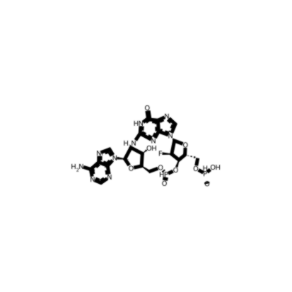 Nc1nc2c(ncn2[C@@H]2O[C@H](CO[PH](=O)O)[C@@H](O[PH](=O)OC[C@H]3O[C@@H](n4cnc5c(N)ncnc54)C[C@@H]3O)[C@H]2F)c(=O)[nH]1